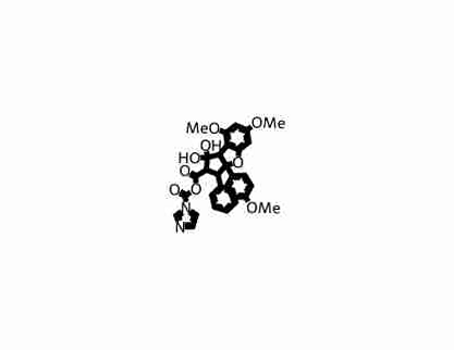 COc1ccc(C23Oc4cc(OC)cc(OC)c4C2C(O)(O)C(C(=O)OC(=O)n2ccnc2)C3c2ccccc2)cc1